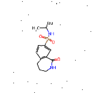 CCC(C)C(C)NS(=O)(=O)c1ccc2c(c1)C(=O)NCCC2